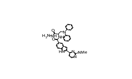 CNc1nccc(-c2cc3cc(C(=O)NC(CN(c4ccccc4)c4ccccc4)C(=O)NN)ccc3[nH]2)n1